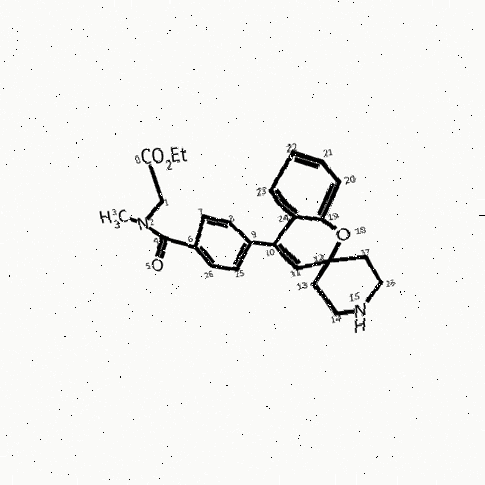 CCOC(=O)CN(C)C(=O)c1ccc(C2=CC3(CCNCC3)Oc3ccccc32)cc1